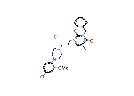 COc1cc(Cl)ccc1N1CCN(CCCn2cc(C)c(=O)n(Cc3ccccc3)c2=O)CC1.Cl